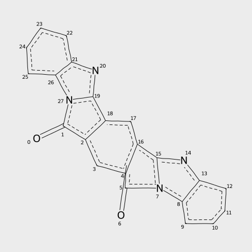 O=c1c2cc3c(=O)n4c5ccccc5nc4c3cc2c2nc3ccccc3n12